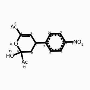 CC(=O)C1=CC(c2ccc([N+](=O)[O-])cc2)CC(O)(C(C)=O)O1